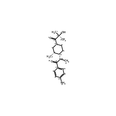 C[C@@H]1CN(C(=O)[C@@](C)(O)C(F)(F)F)CC[C@@H]1N(C)C(=O)c1ccc(N)cn1